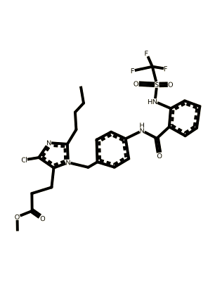 CCCCc1nc(Cl)c(CCC(=O)OC)n1Cc1ccc(NC(=O)c2ccccc2NS(=O)(=O)C(F)(F)F)cc1